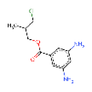 CC(CCl)COC(=O)c1cc(N)cc(N)c1